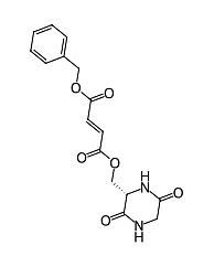 O=C1CNC(=O)[C@H](COC(=O)/C=C/C(=O)OCc2ccccc2)N1